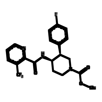 CC(C)(C)OC(=O)N1CC[C@@H](NC(=O)c2ncccc2C(F)(F)F)[C@@H](c2ccc(F)cc2)C1